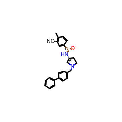 Cc1ccc([S@+]([O-])N[C@@H]2CCN(Cc3ccc(-c4ccccc4)cc3)C2)cc1C#N